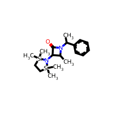 CC(c1ccccc1)N1C(=O)C(N2[Si](C)(C)CC[Si]2(C)C)C1C